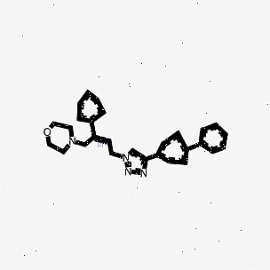 C(/Cn1cc(-c2ccc(-c3ccccc3)cc2)nn1)=C(/CN1CCOCC1)c1ccccc1